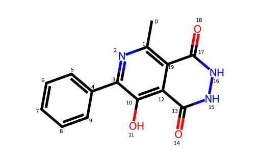 Cc1nc(-c2ccccc2)c(O)c2c(=O)[nH][nH]c(=O)c12